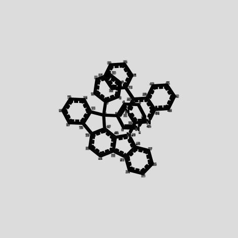 C1=NCCC=C1C1(c2ccccc2)c2ccccc2-c2ccc3c4ccccc4n(-c4nc(-c5ccccc5)c5ccccc5n4)c3c21